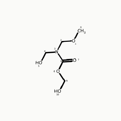 COCN(CO)C(=O)OCO